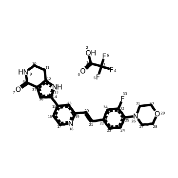 O=C(O)C(F)(F)F.O=C1NCCc2[nH]c(-c3ccnc(C=Cc4ccc(N5CCOCC5)c(F)c4)c3)cc21